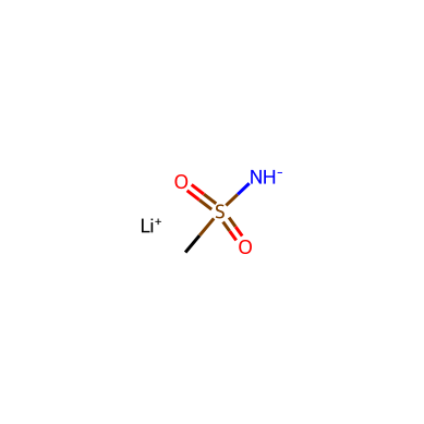 CS([NH-])(=O)=O.[Li+]